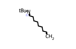 C=CCCCCCC/C=N/C(C)(C)C